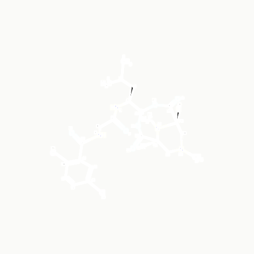 CC(C)C[C@H](NC(=O)CNC(=O)c1cc(Cl)ccc1Cl)B1OC(=O)[C@@H]2CN(C)C[C@@H](C(=O)O1)N2C